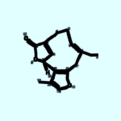 C/C1=C\CCC2=C[C@@H](OC2=O)c2c(C)coc2C1